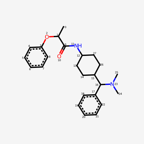 CC(Oc1ccccc1)C(=O)NC1CCC(C(c2ccccc2)N(C)C)CC1